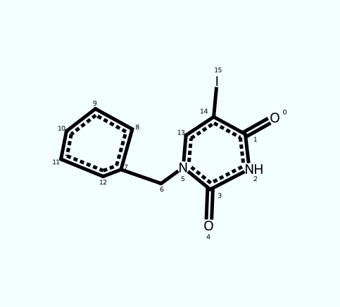 O=c1[nH]c(=O)n(Cc2ccccc2)cc1I